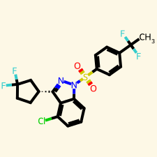 CC(F)(F)c1ccc(S(=O)(=O)n2nc([C@@H]3CCC(F)(F)C3)c3c(Cl)cccc32)cc1